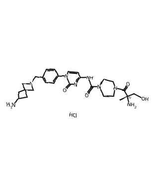 C[C@](N)(CO)C(=O)N1CCN(C(=O)Nc2ccn(-c3ccc(CN4CC5(CC(N)C5)C4)cc3)c(=O)n2)CC1.Cl